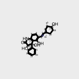 C[C@H]1C[C@](C)(/C=C/c2ccc3c(c2O)[C@@](O)(c2ccccc2)[C@H](O)C(=O)N3)CC[C@@H]1O